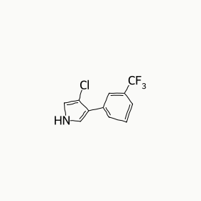 FC(F)(F)c1cccc(-c2c[nH]cc2Cl)c1